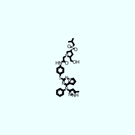 Cc1cc(N(c2ccccc2)c2nc(Sc3ccc(NC(=O)CN4CC(S(=O)(=O)CC(C)C)CC4CO)cc3)nn3cccc23)n[nH]1